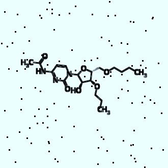 CCCCOC[C@H]1OC(n2ccc(NC(C)=O)nc2=O)[C@H](O)[C@@H]1OCCC